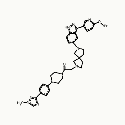 CC(C)Oc1ccc(-c2n[nH]c3ccc(N4CCC5(CCN(CC(=O)N6CCN(c7ccc(-c8ncn(C)n8)cc7)CC6)C5)C4)cc23)cn1